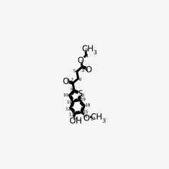 CCOC(=O)CCC(=O)c1cc2cc(O)c(OC)cc2s1